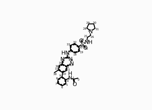 CC(=O)Nc1ccccc1-c1cc2nnc(Nc3ccc(S(=O)(=O)NCCN4CCCC4)cc3)nc2cc1C